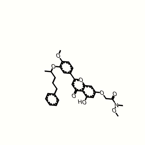 COc1ccc(-c2cc(=O)c3c(O)cc(OCC(=O)N(C)OC)cc3o2)cc1OC(C)CCCc1ccccc1